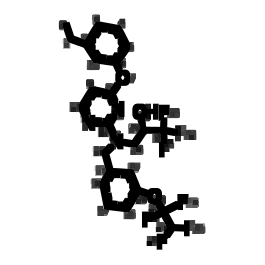 CCc1cccc(Oc2ccnc(N(Cc3cccc(OC(F)(F)C(F)F)c3)C[C@@H](O)C(F)(F)F)n2)c1